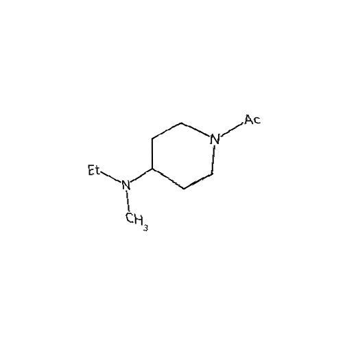 [CH2]CN(C)C1CCN(C(C)=O)CC1